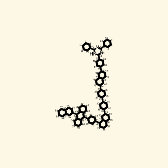 c1ccc(C2=NC(c3ccccc3)NC(c3ccc(-c4ccc5cc(-c6ccc(-c7ccc(-c8ccc9cccc(-c%10ccc(-c%11c%12ccccc%12c(-c%12ccc%13ccccc%13c%12)c%12ccccc%11%12)cc%10)c9c8)cc7)cc6)ccc5c4)cc3)=N2)cc1